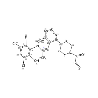 C=CC(=O)N1CCN(c2ncnc(C)c2/C=C(\N(C=O)c2c(O)c(Cl)cc(Cl)c2F)C(F)(F)F)CC1